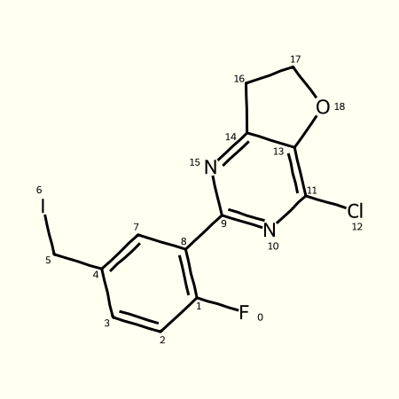 Fc1ccc(CI)cc1-c1nc(Cl)c2c(n1)CCO2